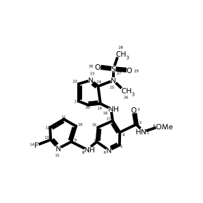 CONC(=O)c1cnc(Nc2cccc(F)n2)cc1Nc1cccnc1N(C)S(C)(=O)=O